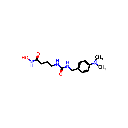 CN(C)c1ccc(CNC(=O)NCCCC(=O)NO)cc1